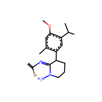 C=C(Br)/N=C1/C(c2cc(C(C)C)c(OC)cc2C)CCCN1N